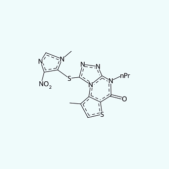 CCCn1c(=O)c2scc(C)c2n2c(Sc3c([N+](=O)[O-])ncn3C)nnc12